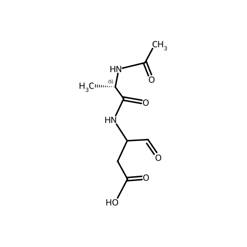 CC(=O)N[C@@H](C)C(=O)NC(C=O)CC(=O)O